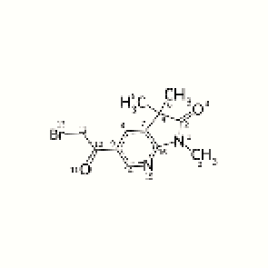 CN1C(=O)C(C)(C)c2cc(C(=O)CBr)cnc21